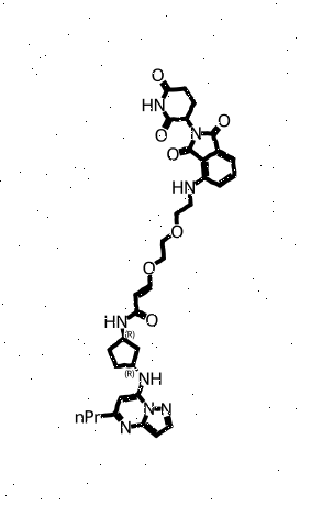 CCCc1cc(N[C@@H]2CC[C@@H](NC(=O)C=COCCOCCNc3cccc4c3C(=O)N(C3CCC(=O)NC3=O)C4=O)C2)n2nccc2n1